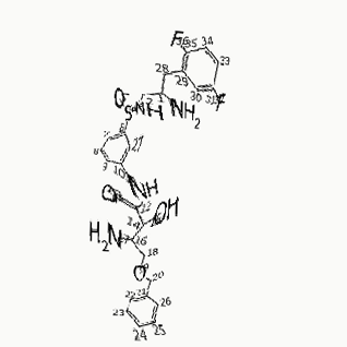 NC(CN[S+]([O-])c1cccc(NC(=O)C(O)C(N)COCc2ccccc2)c1)Cc1cc(F)ccc1F